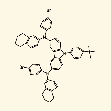 CC(C)(C)c1ccc(-n2c3ccc(N(c4ccc(Br)cc4)c4ccc5c(c4)CCCC5)cc3c3cc(N(c4ccc(Br)cc4)c4ccc5c(c4)CCCC5)ccc32)cc1